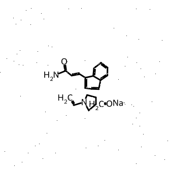 C=CN1CCCC1.C=O.NC(=O)C=Cc1cccc2ccccc12.[Na]